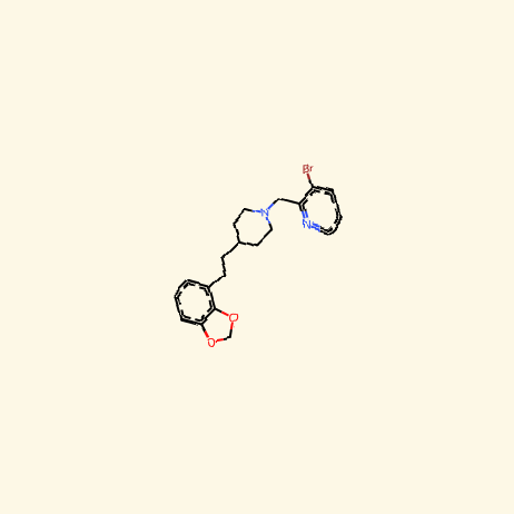 Brc1cccnc1CN1CCC(CCc2cccc3c2OCO3)CC1